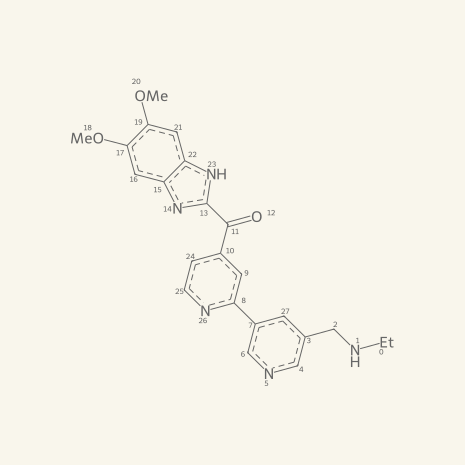 CCNCc1cncc(-c2cc(C(=O)c3nc4cc(OC)c(OC)cc4[nH]3)ccn2)c1